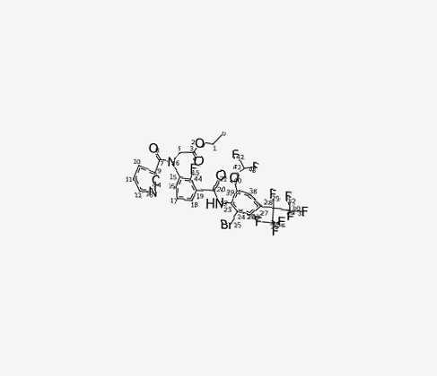 CCOC(=O)CN(C(=O)c1cccnc1)c1cccc(C(=O)Nc2c(Br)cc(C(F)(C(F)(F)F)C(F)(F)F)cc2OC(F)F)c1F